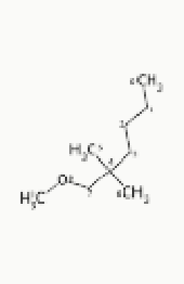 CCCCC(C)(C)COC